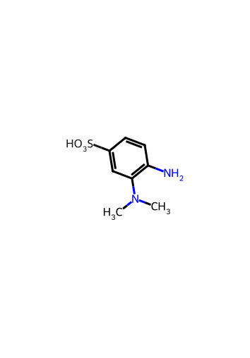 CN(C)c1cc(S(=O)(=O)O)ccc1N